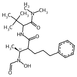 C[C@@H](C(CCCc1ccccc1)C(=O)NC(C(=O)N(C)C)C(C)(C)C)N(O)C=O